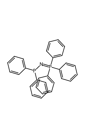 c1ccc(P(N=P(c2ccccc2)(c2ccccc2)c2ccccc2)c2ccccc2)cc1